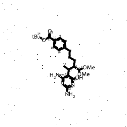 COC(OC)C(CCCc1ccc(C(=O)OC(C)(C)C)cc1)C(C)c1c(N)nc(N)nc1O